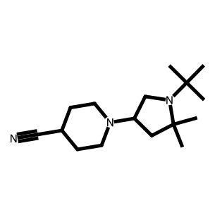 CC(C)(C)N1CC(N2CCC(C#N)CC2)CC1(C)C